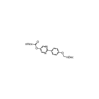 CCCCCCCCCCCOc1ccc(-c2ncc(OC(=O)CCCCCC)cn2)cc1